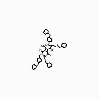 O=C(O)C1C(C(=O)N(CCSCc2ccccc2)Cc2ccc(Oc3ccccc3)cc2)C(C(=O)O)C1C(=O)N(CCSCc1ccccc1)Cc1ccc(Oc2ccccc2)cc1